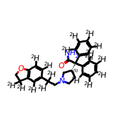 [2H]c1c([2H])c([2H])c(C(C(N)=O)(c2c([2H])c([2H])c([2H])c([2H])c2[2H])[C@@H]2CCN(CC([2H])([2H])c3c([2H])c([2H])c4c(c3[2H])C([2H])([2H])CO4)C2)c([2H])c1[2H]